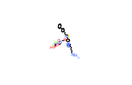 NCCCCc1cn(-c2ccc(-c3nc(CCc4ccc(-c5ccccc5)cc4)cs3)c(OCCN3CCNC3=O)c2)nn1.O=C(O)C(F)(F)F